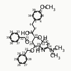 COc1ccc(CCC(O)[C@H]2O[C@@H]3SC(N(C)C)=N[C@@H]3[C@@H](OCc3ccccc3)[C@@H]2OCc2ccccc2)cc1